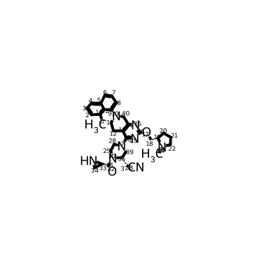 Cc1cccc2cccc(N3CCc4c(nc(OC[C@@H]5CCCN5C)nc4N4CCN(C(=O)[C@@H]5CN5)[C@@H](CC#N)C4)C3)c12